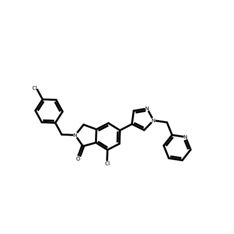 O=C1c2c(Cl)cc(-c3cnn(Cc4ccccn4)c3)cc2CN1Cc1ccc(Cl)cc1